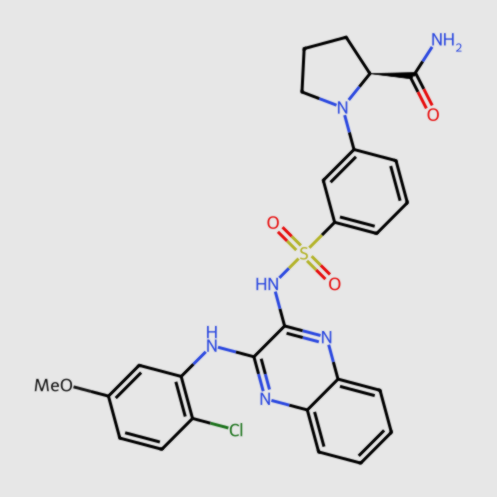 COc1ccc(Cl)c(Nc2nc3ccccc3nc2NS(=O)(=O)c2cccc(N3CCC[C@H]3C(N)=O)c2)c1